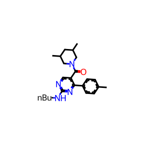 CCCCNc1ncc(C(=O)N2CC(C)CC(C)C2)c(-c2ccc(C)cc2)n1